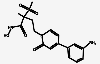 CC(CCn1ccc(-c2cccc(N)c2)cc1=O)(C(=O)NO)S(C)(=O)=O